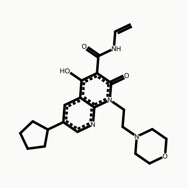 C=CNC(=O)c1c(O)c2cc(C3CCCC3)cnc2n(CCN2CCOCC2)c1=O